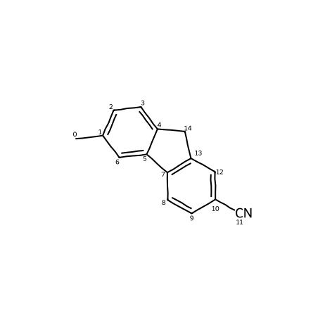 Cc1ccc2c(c1)-c1ccc(C#N)cc1C2